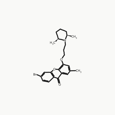 Cc1cc(OCCCN2[C@H](C)CCC[C@@H]2C)c2oc3cc(Br)ccc3c(=O)c2c1